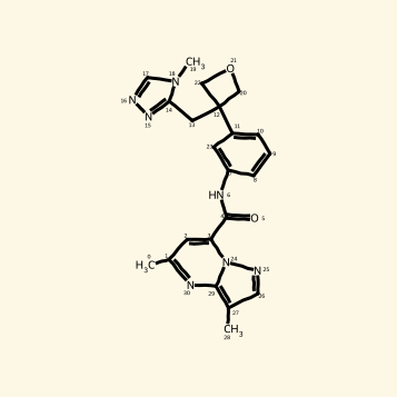 Cc1cc(C(=O)Nc2cccc(C3(Cc4nncn4C)COC3)c2)n2ncc(C)c2n1